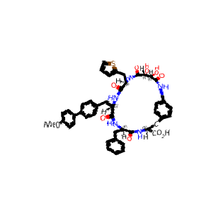 COc1ccc(-c2ccc(C[C@@H]3NC(=O)[C@@H](Cc4cccs4)NC(=O)[C@H](O)[C@@H](O)C(=O)Nc4ccc(cc4)C[C@@H](C(=O)O)NC(=O)[C@@H](Cc4ccccc4)NC3=O)cc2)cc1